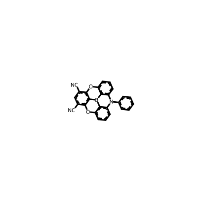 N#Cc1cc(C#N)c2c3c1Oc1cccc4c1B3c1c(cccc1N4c1ccccc1)O2